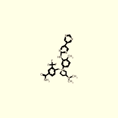 Cc1ccc([N@+]2(Cc3ccc(C(N)=O)cc3C(F)(F)F)CCC(N(C)C)C2)cc1Nc1ncc(-c2cncnc2)cn1